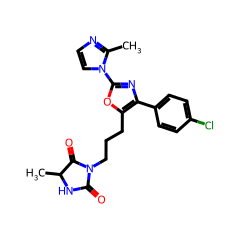 Cc1nccn1-c1nc(-c2ccc(Cl)cc2)c(CCCN2C(=O)NC(C)C2=O)o1